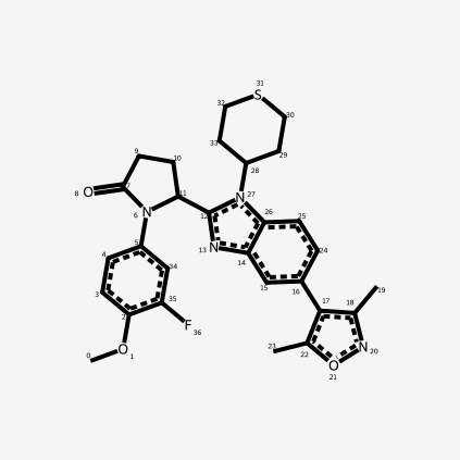 COc1ccc(N2C(=O)CCC2c2nc3cc(-c4c(C)noc4C)ccc3n2C2CCSCC2)cc1F